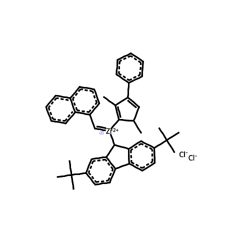 CC1=[C](/[Zr+2](=[CH]\c2cccc3ccccc23)[CH]2c3cc(C(C)(C)C)ccc3-c3ccc(C(C)(C)C)cc32)C(C)C=C1c1ccccc1.[Cl-].[Cl-]